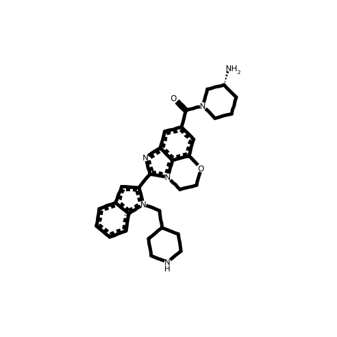 N[C@@H]1CCCN(C(=O)c2cc3c4c(c2)nc(-c2cc5ccccc5n2CC2CCNCC2)n4CCO3)C1